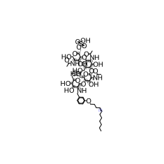 CCCCCC/C=C\CCCOc1cccc(CN[C@H]2[C@H](O[C@H]3[C@H](O)[C@@H](NC(C)=O)[C@H](O[C@H]4[C@H](O)[C@@H](NC(C)=O)[C@H](O[C@H]5[C@H](O)[C@@H](NC(C)=O)C(O)O[C@@H]5COS(=O)(=O)O)O[C@@H]4CO)O[C@@H]3CO)O[C@H](CO)[C@@H](O)[C@@H]2O)c1